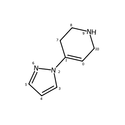 C1=C(n2cccn2)CCNC1